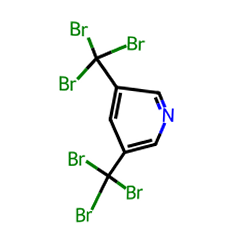 BrC(Br)(Br)c1cncc(C(Br)(Br)Br)c1